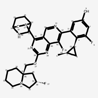 C[C@@H]1C[C@@H]1c1c(F)cc(O)cc1-c1ncc2c(N3CC4CCC3CN4)nc(OC[C@]34CCCCN3C[C@@H](F)C4)nc2c1F